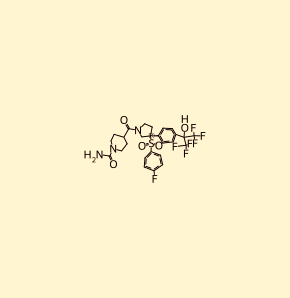 NC(=O)N1CCC(C(=O)N2CC[C@](c3ccc(C(O)(C(F)(F)F)C(F)(F)F)cc3)(S(=O)(=O)c3ccc(F)cc3)C2)CC1